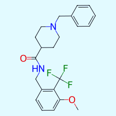 COc1cccc(CNC(=O)C2CCN(Cc3ccccc3)CC2)c1C(F)(F)F